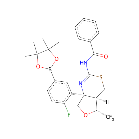 CC1(C)OB(c2ccc(F)c([C@@]34CO[C@@H](C(F)(F)F)[C@@H]3CSC(NC(=O)c3ccccc3)=N4)c2)OC1(C)C